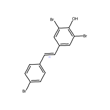 Oc1c(Br)cc(/C=C/c2ccc(Br)cc2)cc1Br